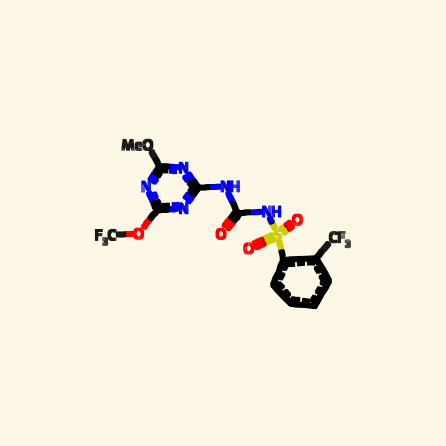 COc1nc(NC(=O)NS(=O)(=O)c2ccccc2C(F)(F)F)nc(OC(F)(F)F)n1